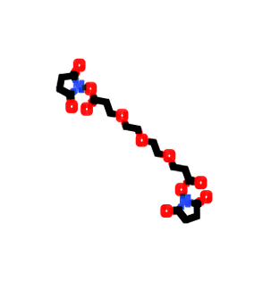 O=C(CCOCCOCCOCCC(=O)ON1C(=O)CCC1=O)ON1C(=O)CCC1=O